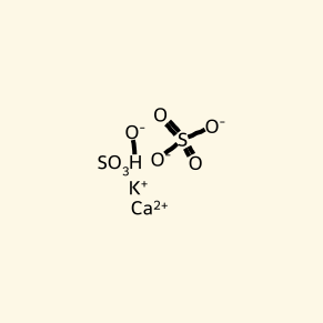 O=S(=O)([O-])O.O=S(=O)([O-])[O-].[Ca+2].[K+]